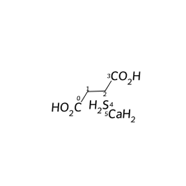 O=C(O)CCC(=O)O.S.[CaH2]